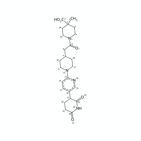 CC1(C(=O)O)CCN(C(=O)CC2CCN(c3ccc(C4CCC(=O)NC4=O)cn3)CC2)CC1